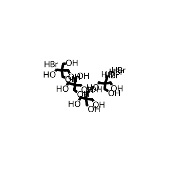 Br.Br.Br.Br.OCC(CO)(CO)CO.OCC(CO)(CO)CO.OCC(CO)(CO)CO.OCC(CO)(CO)CO